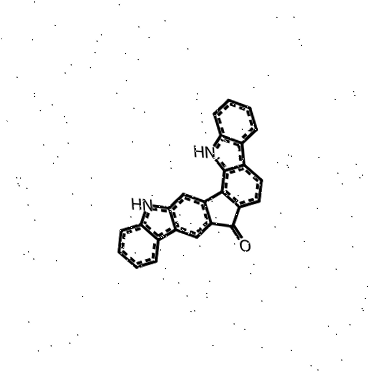 O=C1c2cc3c(cc2-c2c1ccc1c2[nH]c2ccccc21)[nH]c1ccccc13